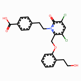 O=C(O)c1ccc(CCn2c(COc3ccccc3CCO)c(Cl)cc(Cl)c2=O)cc1